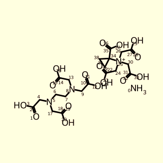 N.O=C(O)CN(CCN(CC(=O)O)CC(=O)O)CC(=O)O.O=C(O)C[N+](CC(=O)O)(CC(=O)O)C1(C(=O)O)CC1